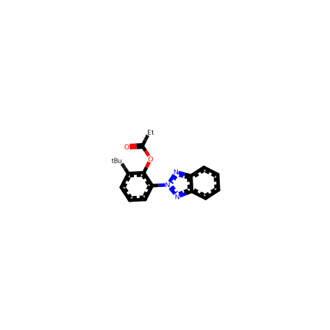 CCC(=O)Oc1c(-n2nc3ccccc3n2)cccc1C(C)(C)C